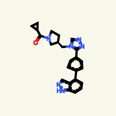 O=C(C1CC1)N1CC[C@@H](Cn2cnnc2-c2ccc(-c3cccc4[nH]ncc34)cc2)C1